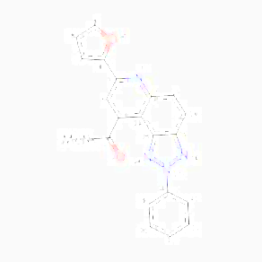 CNC(=O)c1cc(-c2ccco2)nc2ccc3nn(-c4ccccc4)nc3c12